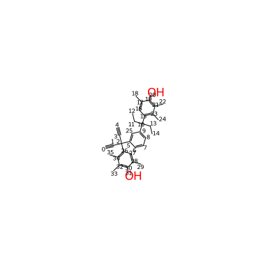 C#CC(C#C)(c1cccc(C(CC)(CC)c2cc(C)c(O)c(C)c2C)c1)c1cc(C)c(O)c(C)c1C